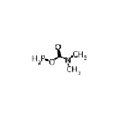 CN(C)C(=O)OP